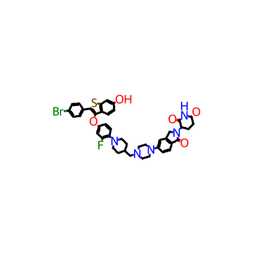 O=C1CCC(N2Cc3cc(N4CCN(CC5CCN(c6ccc(Oc7c(-c8ccc(Br)cc8)sc8cc(O)ccc78)cc6F)CC5)CC4)ccc3C2=O)C(=O)N1